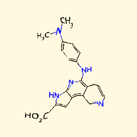 CN(C)c1ccc(Nc2nc3[nH]c(C(=O)O)cc3c3cnccc23)cc1